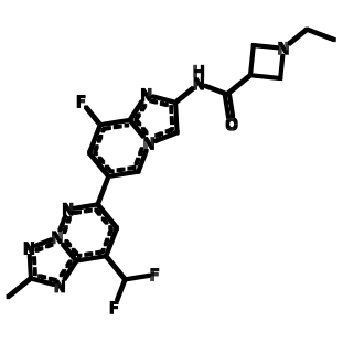 CCN1CC(C(=O)Nc2cn3cc(-c4cc(C(F)F)c5nc(C)nn5n4)cc(F)c3n2)C1